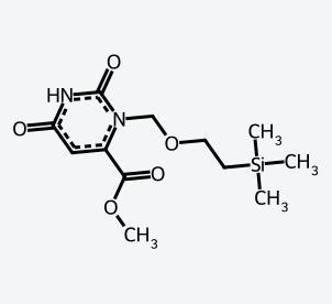 COC(=O)c1cc(=O)[nH]c(=O)n1COCC[Si](C)(C)C